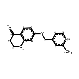 Cc1cc(COc2ccc3c(c2)OCCC3=O)ccn1